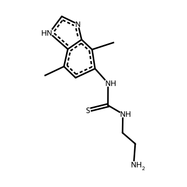 Cc1c(NC(=S)NCCN)cc(C)c2[nH]cnc12